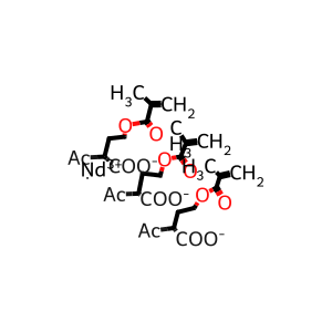 C=C(C)C(=O)OCCC(C(C)=O)C(=O)[O-].C=C(C)C(=O)OCCC(C(C)=O)C(=O)[O-].C=C(C)C(=O)OCCC(C(C)=O)C(=O)[O-].[Nd+3]